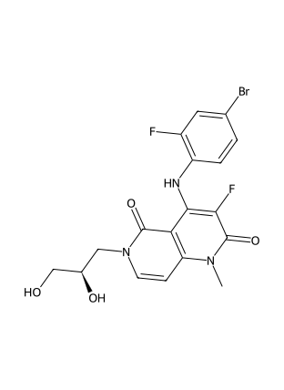 Cn1c(=O)c(F)c(Nc2ccc(Br)cc2F)c2c(=O)n(C[C@@H](O)CO)ccc21